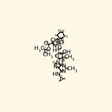 Cc1nc(NC2CC2)c2ncn([C@@H]3O[C@H](COP(=O)(N[C@@H](C)C(=O)OC(C)C)Oc4ccccc4)[C@@H](O)[C@@]3(C)F)c2n1